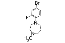 CN1CCCN(c2ccc(Br)cc2F)CC1